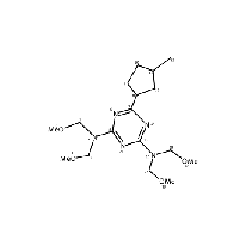 COCN(COC)c1nc(C2CCC(C)C2)nc(N(COC)COC)n1